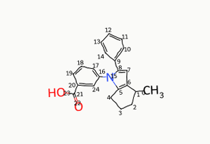 CC1CCCc2c1cc(-c1ccccc1)n2-c1cccc(C(=O)O)c1